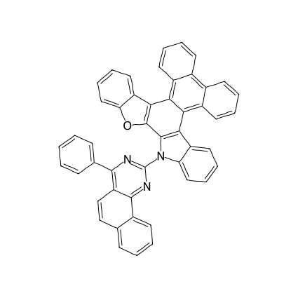 c1ccc(-c2nc(-n3c4ccccc4c4c5c6ccccc6c6ccccc6c5c5c6ccccc6oc5c43)nc3c2ccc2ccccc23)cc1